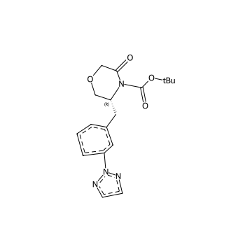 CC(C)(C)OC(=O)N1C(=O)COC[C@H]1Cc1cccc(-n2nccn2)c1